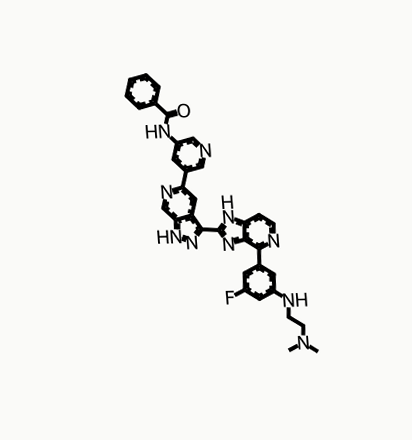 CN(C)CCNc1cc(F)cc(-c2nccc3[nH]c(-c4n[nH]c5cnc(-c6cncc(NC(=O)c7ccccc7)c6)cc45)nc23)c1